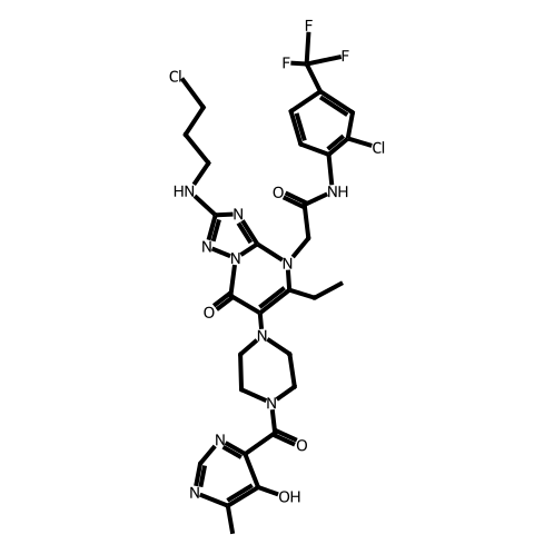 CCc1c(N2CCN(C(=O)c3ncnc(C)c3O)CC2)c(=O)n2nc(NCCCCl)nc2n1CC(=O)Nc1ccc(C(F)(F)F)cc1Cl